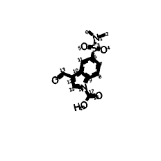 CN(C)S(=O)(=O)c1ccc2c(c1)c(C=O)cn2C(=O)O